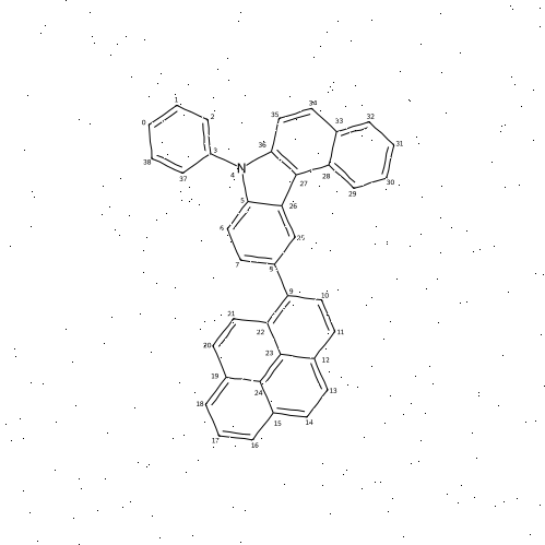 c1ccc(-n2c3ccc(-c4ccc5ccc6cccc7ccc4c5c67)cc3c3c4ccccc4ccc32)cc1